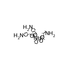 C/C(N)=C(\C)COC(C)OCc1ccccc1NCC(C)(OCc1ccc(N)cc1)OCc1ccc(N)cc1